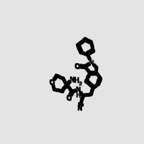 N#CC(Cc1ccc2c(c1)C(=O)N(c1ccccc1)C2)NC(=O)C1(N)CCOCC1